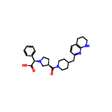 O=C(O)[C@@H](c1ccccc1)N1CC[C@@H](C(=O)N2CCC(Cc3ccc4c(n3)NCCC4)CC2)C1